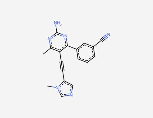 Cc1nc(N)nc(-c2cccc(C#N)c2)c1C#Cc1cncn1C